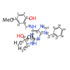 COc1ccc(O)c(CNc2nc(NC(C)C(C)(C)O)nc3c2ncn3Cc2ccccc2)c1